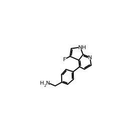 NCc1ccc(-c2ccnc3[nH]cc(F)c23)cc1